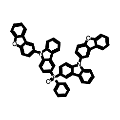 O=P(c1ccccc1)(c1ccc2c(c1)c1ccccc1n2-c1ccc2oc3ccccc3c2c1)c1ccc2c(c1)c1ccccc1n2-c1ccc2oc3ccccc3c2c1